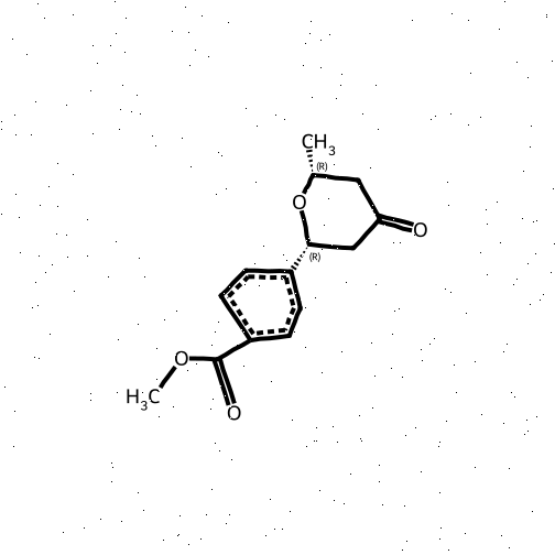 COC(=O)c1ccc([C@H]2CC(=O)C[C@@H](C)O2)cc1